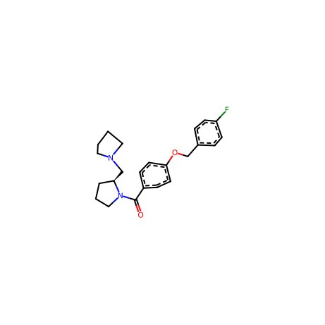 O=C(c1ccc(OCc2ccc(F)cc2)cc1)N1CCC[C@H]1CN1CCCC1